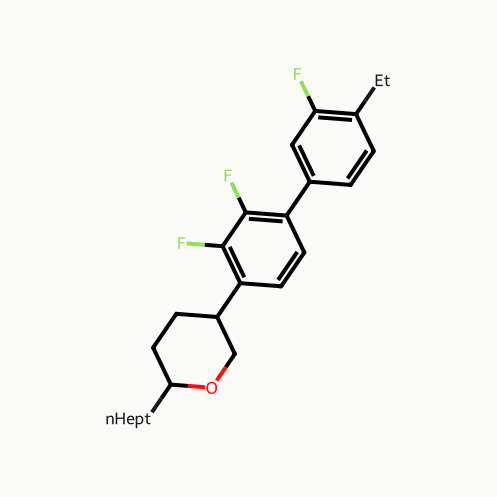 CCCCCCCC1CCC(c2ccc(-c3ccc(CC)c(F)c3)c(F)c2F)CO1